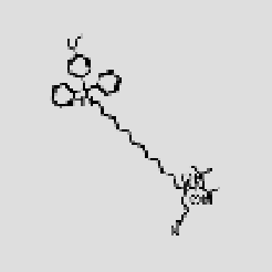 COc1ccc(C(NCCCCCCCCCCCCP(O)(O)(CCC#N)N(C(C)C)C(C)C)(c2ccccc2)c2ccccc2)cc1